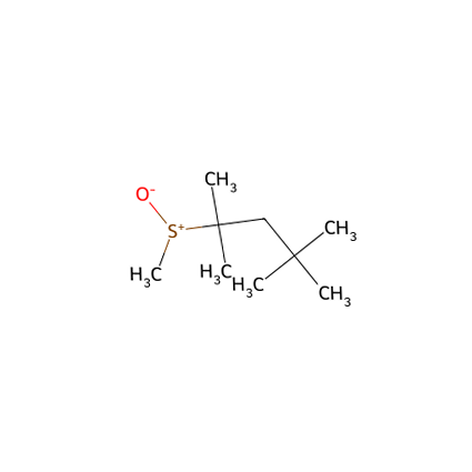 C[S+]([O-])C(C)(C)CC(C)(C)C